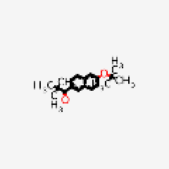 CC(C)(C)Oc1ccc2cc(C(=O)C(C)(C)C)ccc2c1